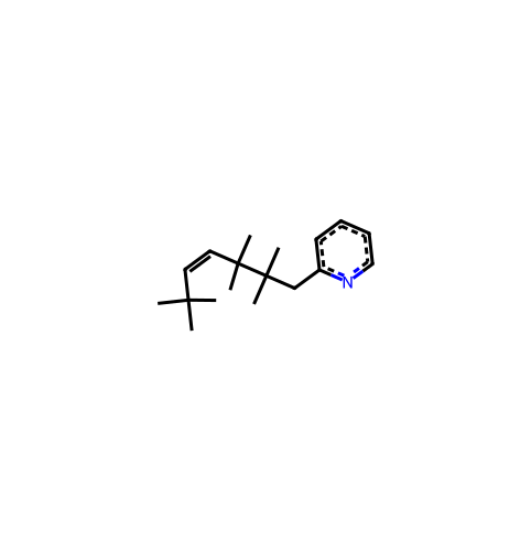 CC(C)(C)/C=C\C(C)(C)C(C)(C)Cc1ccccn1